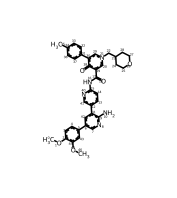 COc1ccc(-c2cnc(N)c(-c3ccc(NC(=O)c4cn(CC5CCOCC5)cc(-c5ccc(C)cc5)c4=O)nc3)c2)cc1OC